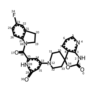 O=C1Nc2ncccc2C2(CCN(c3cc(C(=O)N4CCc5cc(F)ccc54)[nH]c(=O)c3)CC2)O1